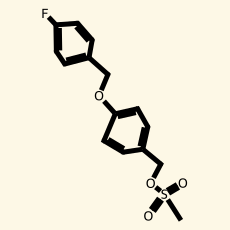 CS(=O)(=O)OCc1ccc(OCc2ccc(F)cc2)cc1